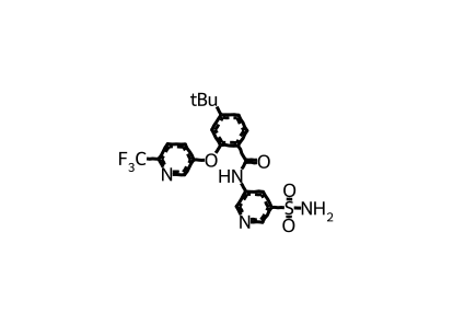 CC(C)(C)c1ccc(C(=O)Nc2cncc(S(N)(=O)=O)c2)c(Oc2ccc(C(F)(F)F)nc2)c1